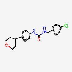 O=C(NCc1ccc(Cl)cc1)Nc1ccc(C2CCOCC2)cc1